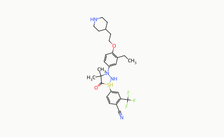 CCc1cc(N2N[SH](c3ccc(C#N)c(C(F)(F)F)c3)C(=O)C2(C)C)ccc1OCCC1CCNCC1